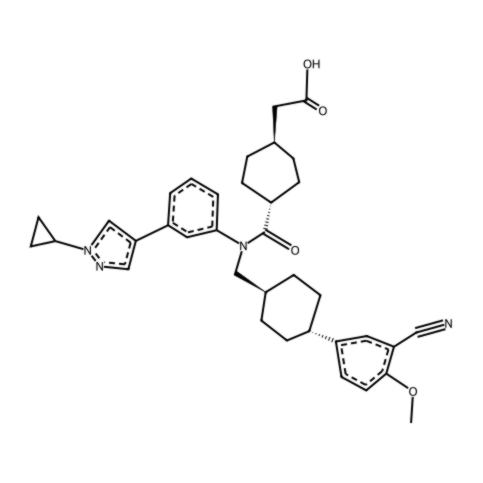 COc1ccc([C@H]2CC[C@H](CN(c3cccc(-c4cnn(C5CC5)c4)c3)C(=O)[C@H]3CC[C@H](CC(=O)O)CC3)CC2)cc1C#N